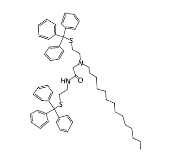 CCCCCCCCCCCCCCN(CCSC(c1ccccc1)(c1ccccc1)c1ccccc1)CC(=O)NCCSC(c1ccccc1)(c1ccccc1)c1ccccc1